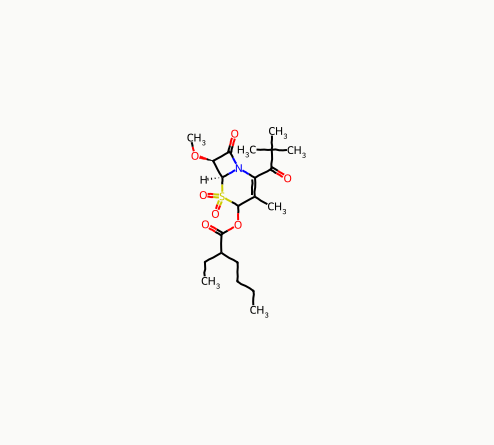 CCCCC(CC)C(=O)OC1C(C)=C(C(=O)C(C)(C)C)N2C(=O)[C@H](OC)[C@@H]2S1(=O)=O